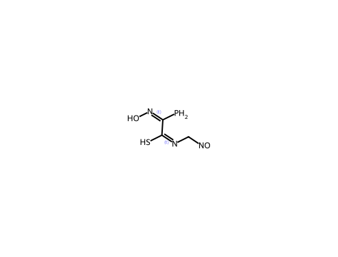 O=NC/N=C(S)\C(P)=N/O